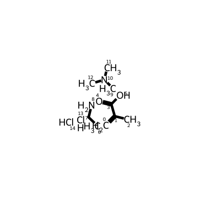 C=C(C)C(=O)O.CCN.CN(C)C.Cl.Cl